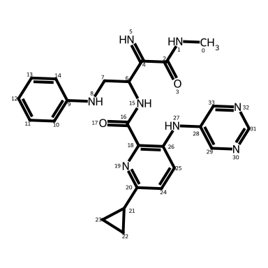 CNC(=O)C(=N)C(CNc1ccccc1)NC(=O)c1nc(C2CC2)ccc1Nc1cncnc1